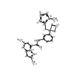 Cc1cc(C(=O)Nc2cccc(C3(Cc4nncn4C)COC3)c2)n2nc(C(F)(F)F)cc2n1